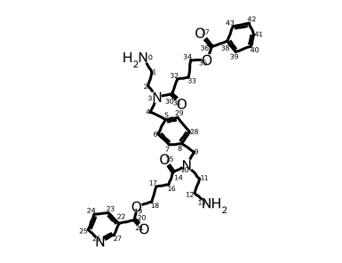 NCCN(Cc1ccc(CN(CCN)C(=O)CCCOC(=O)c2cccnc2)cc1)C(=O)CCCOC(=O)c1ccccc1